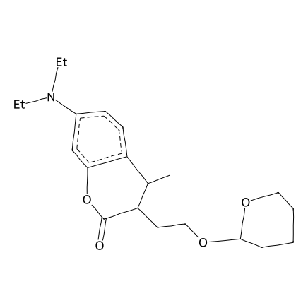 CCN(CC)c1ccc2c(c1)OC(=O)C(CCOC1CCCCO1)C2C